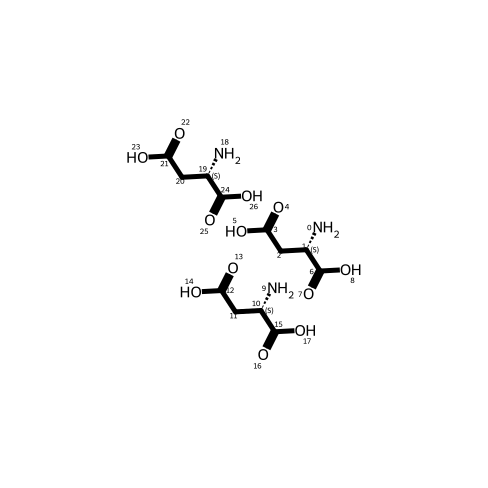 N[C@@H](CC(=O)O)C(=O)O.N[C@@H](CC(=O)O)C(=O)O.N[C@@H](CC(=O)O)C(=O)O